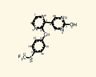 Oc1ncc(-c2nccnc2Oc2ccc(SC(F)(F)F)cc2)cn1